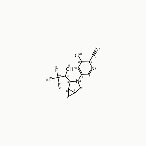 N#Cc1ncc(N2CC3CC3C2C(O)C(F)(F)F)cc1Cl